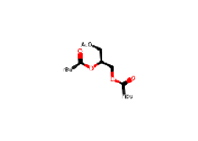 CCCCC(=O)OCC(COC(C)=O)OC(=O)CCCC